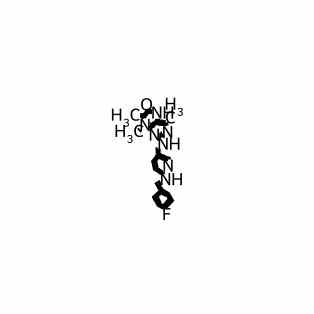 Cc1nc(NCc2ccc(NCc3ccc(F)cc3)nc2)nc2c1NC(=O)C(C)N2C